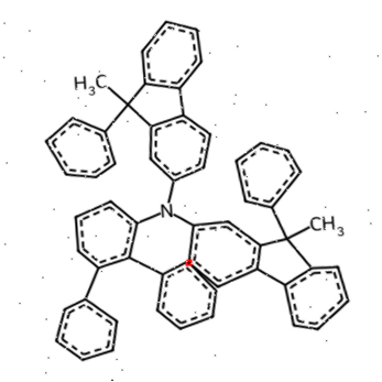 CC1(c2ccccc2)c2ccccc2-c2ccc(N(c3ccc4c(c3)C(C)(c3ccccc3)c3ccccc3-4)c3cccc(-c4ccccc4)c3-c3ccccc3)cc21